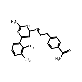 Cc1cccc(C2=CC(NCCc3ccc(C(N)=O)cc3)NC(N)=N2)c1C